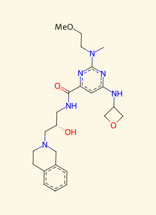 COCCN(C)c1nc(NC2COC2)cc(C(=O)NC[C@H](O)CN2CCc3ccccc3C2)n1